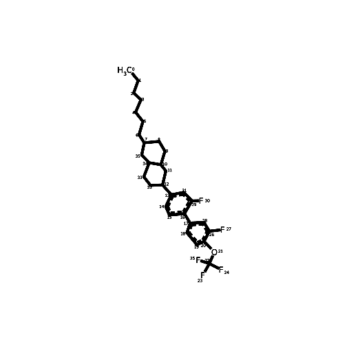 CCCCCCCC1CCC2CC(c3ccc(-c4ccc(OC(F)(F)F)c(F)c4)c(F)c3)CCC2C1